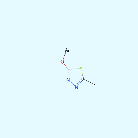 CC(=O)Oc1nnc(C)s1